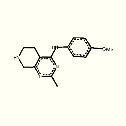 COc1ccc(Nc2nc(C)nc3c2CCNC3)cc1